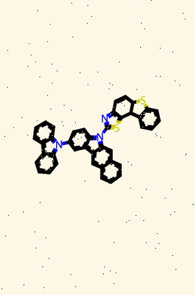 C1=CC2Sc3ccccc3C2c2sc(-n3c4ccc(-n5c6ccccc6c6ccccc65)cc4c4cc5ccccc5cc43)nc21